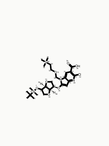 CC(C)(C)[Si](C)(C)OC1CO[C@H]2[C@@H]1OC[C@H]2Oc1cc2nc(Cl)c(C(=O)O)cc2n1COCC[Si](C)(C)C